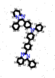 c1ccc(-c2nc(-c3ccc(-c4ccc(N(c5ccccc5)c5ccc(-c6nc7ccccn7c6-c6ccccc6)cc5)cc4)cc3)nc3ccccc23)cc1